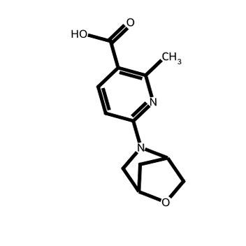 Cc1nc(N2CC3CC2CO3)ccc1C(=O)O